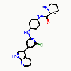 CN1CCCCC1C(=O)NC1CCC(Nc2cc(-c3c[nH]c4ncccc34)cc(Cl)n2)CC1